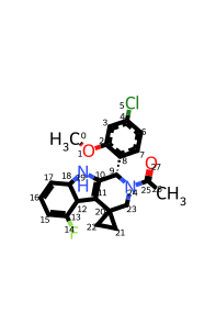 COc1cc(Cl)ccc1[C@H]1C2=C(C3C(F)=CC=CC3N2)C2(CC2)CN1C(C)=O